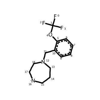 FC(F)(F)Oc1ccccc1CN1CCC[N]CC1